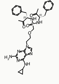 CC(=O)[C@H](Cc1ccccc1)NP(=O)(COCCn1cnc2c(NC3CC3)nc(N)nc21)N[C@@H](Cc1ccccc1)C(C)=O